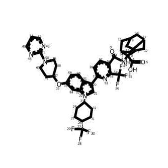 O=C(NC1(C(=O)O)C2CC3CC(C2)CC1C3)c1ccc(-c2cn([C@H]3CC[C@@H](C(F)(F)F)CC3)c3cc(OC4CCN(c5ncccn5)CC4)ccc23)nc1C(F)(F)F